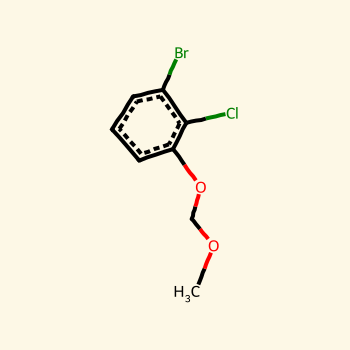 COCOc1cccc(Br)c1Cl